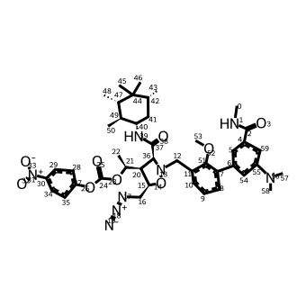 CNC(=O)c1cc(-c2cccc(CN3O[C@@H](CN=[N+]=[N-])[C@@H]([C@H](C)OC(=O)Oc4ccc([N+](=O)[O-])cc4)[C@H]3C(=O)N[C@H]3C[C@@H](C)C(C)(C)[C@@H](C)[C@@H]3C)c2OC)cc(N(C)C)c1